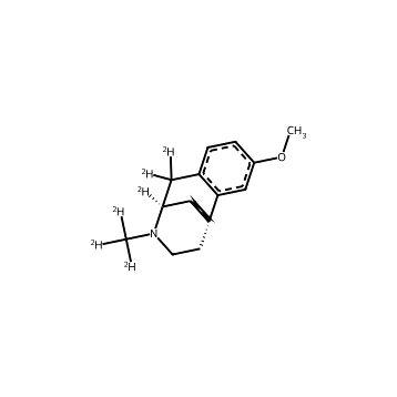 [2H]C([2H])([2H])N1CC[C@@]23CCCCC2[C@]1([2H])C([2H])([2H])c1ccc(OC)cc13